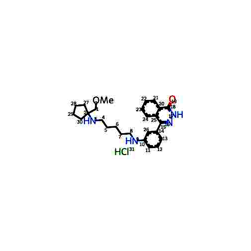 COCC1(NCCCCCNc2cccc(-c3n[nH]c(=O)c4ccccc34)c2)CCCC1.Cl